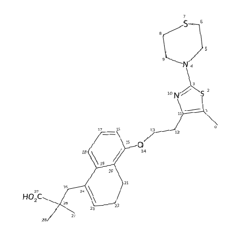 Cc1sc(N2CCSCC2)nc1CCOc1cccc2c1CCC=C2CC(C)(C)C(=O)O